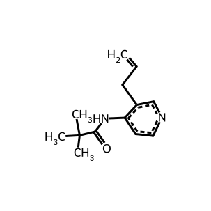 C=CCc1cnccc1NC(=O)C(C)(C)C